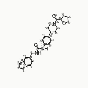 O=C(NCc1ccn2ccnc2c1)Nc1ccc(C2CCN(C(=O)[C@H]3CCCO3)CC2)cc1